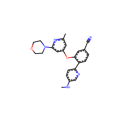 CNc1ccc(-c2ccc(C#N)cc2Oc2cc(C)nc(N3CCOCC3)c2)nc1